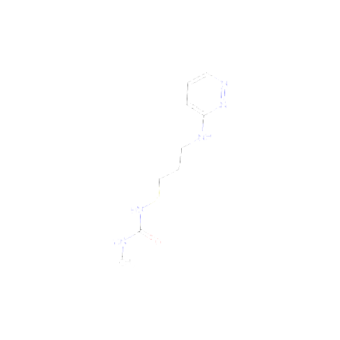 CNC(=O)NSCCCNc1cccnn1